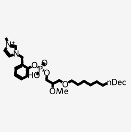 CCCCCCCCCCCCCCCCOCC(COP(=O)(O)Oc1ccccc1Cn1cc[n+](C)c1)OC